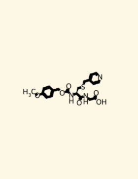 COc1ccc(COC(=O)N[C@@H](CSCc2ccncc2)C(=O)NCC(=O)O)cc1